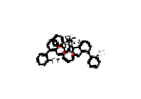 CCc1ccccc1-c1cccc2c1C=C[CH]2[Hf]([CH3])([CH3])(=[SiH2])([c]1ccccc1)([c]1ccccc1)[CH]1C=Cc2c(-c3ccccc3CC)cccc21